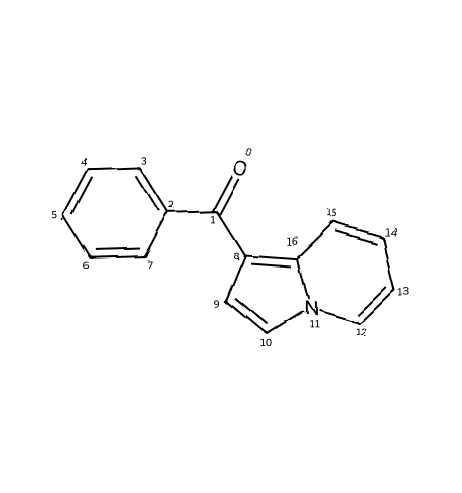 O=C(c1cc[c]cc1)c1ccn2ccccc12